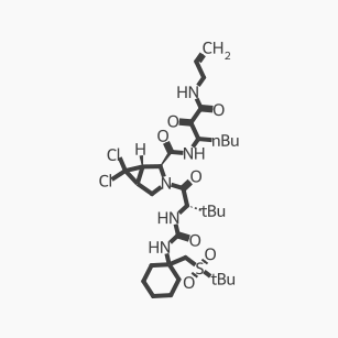 C=CCNC(=O)C(=O)C(CCCC)NC(=O)[C@@H]1[C@@H]2C(CN1C(=O)[C@@H](NC(=O)NC1(CS(=O)(=O)C(C)(C)C)CCCCC1)C(C)(C)C)C2(Cl)Cl